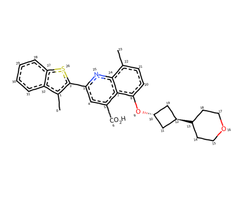 Cc1c(-c2cc(C(=O)O)c3c(O[C@H]4C[C@H](C5CCOCC5)C4)ccc(C)c3n2)sc2ccccc12